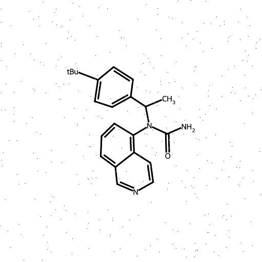 CC(c1ccc(C(C)(C)C)cc1)N(C(N)=O)c1cccc2cnccc12